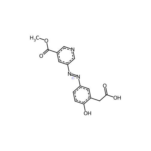 COC(=O)c1cncc(/N=N/c2ccc(O)c(CC(=O)O)c2)c1